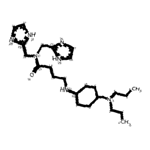 CCCN(CCC)C1CCC(NCCCC(=O)N(Cc2ncc[nH]2)Cc2ncc[nH]2)CC1